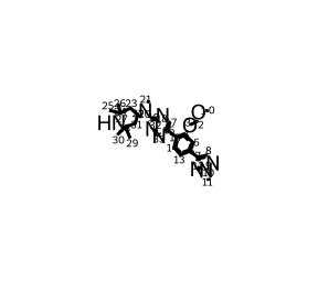 COCOc1cc(-c2cnn(C)n2)ccc1-c1cnc(N(C)C2CC(C)(C)NC(C)(C)C2)nn1